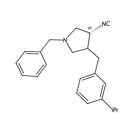 [C-]#[N+][C@H]1CN(Cc2ccccc2)CC1Cc1cccc(C(C)C)c1